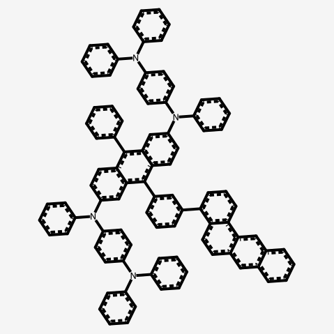 c1ccc(-c2c3ccc(N(c4ccccc4)c4ccc(N(c5ccccc5)c5ccccc5)cc4)cc3c(-c3cccc(-c4cccc5c4ccc4cc6ccccc6cc45)c3)c3ccc(N(c4ccccc4)c4ccc(N(c5ccccc5)c5ccccc5)cc4)cc23)cc1